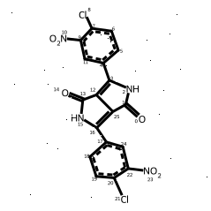 O=C1NC(c2ccc(Cl)c([N+](=O)[O-])c2)=C2C(=O)NC(c3ccc(Cl)c([N+](=O)[O-])c3)=C12